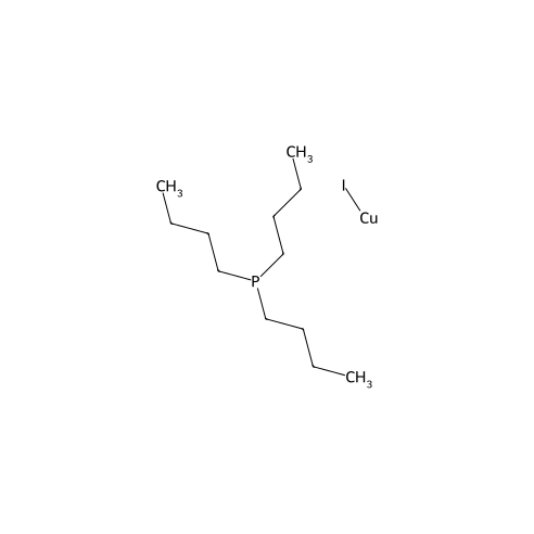 CCCCP(CCCC)CCCC.[Cu][I]